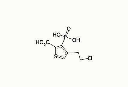 O=C(O)c1scc(CCCl)c1P(=O)(O)O